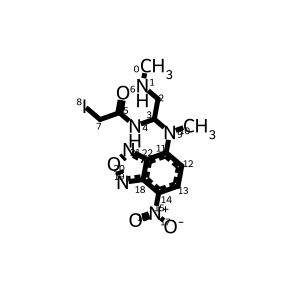 CNCC(NC(=O)CI)N(C)c1ccc([N+](=O)[O-])c2nonc12